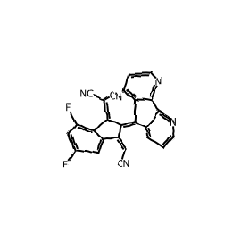 N#C/C=C1/C(=C2c3cccnc3-c3ncccc32)C(=C(C#N)C#N)c2c(F)cc(F)cc21